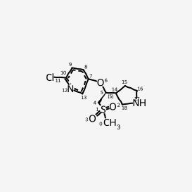 CS(=O)(=O)C[C@@H](Oc1ccc(Cl)nc1)C1CCNC1